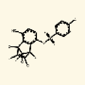 O=S(=O)(Oc1ccc(O)c2c1C1(Cl)C(Cl)=C(Cl)C2(Cl)C1(Cl)Cl)c1ccc(Cl)cc1